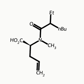 C=CC[C@@H](C(=O)O)N(C)C(=O)C(CC)CCCC